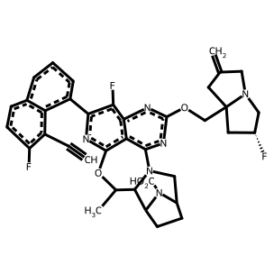 C#Cc1c(F)ccc2cccc(-c3nc4c5c(nc(OCC67CC(=C)CN6C[C@H](F)C7)nc5c3F)N3CC5CCC(C3C(C)O4)N5C(=O)O)c12